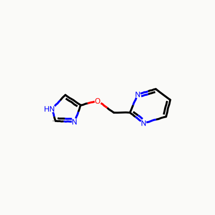 [c]1nc(OCc2ncccn2)c[nH]1